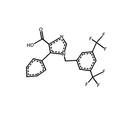 O=C(O)c1ncn(Cc2cc(C(F)(F)F)cc(C(F)(F)F)c2)c1-c1ccccc1